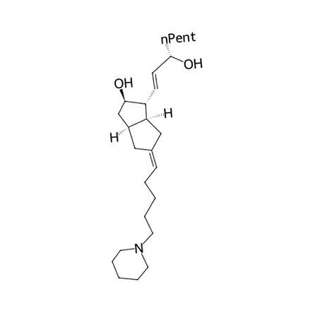 CCCCC[C@H](O)/C=C/[C@@H]1[C@H]2C/C(=C/CCCCN3CCCCC3)C[C@H]2C[C@H]1O